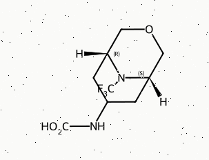 O=C(O)NC1C[C@H]2COC[C@@H](C1)N2C(F)(F)F